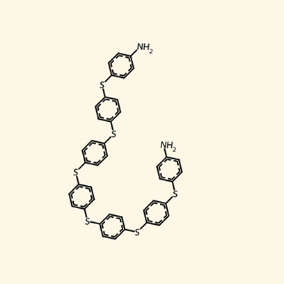 Nc1ccc(Sc2ccc(Sc3ccc(Sc4ccc(Sc5ccc(Sc6ccc(Sc7ccc(N)cc7)cc6)cc5)cc4)cc3)cc2)cc1